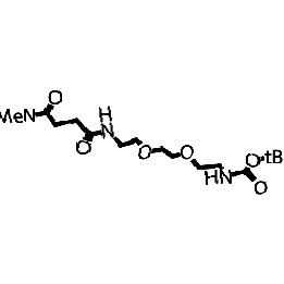 CNC(=O)CCC(=O)NCCOCCOCCNC(=O)OC(C)(C)C